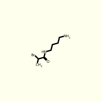 CC(Br)C(=O)NCCCCN